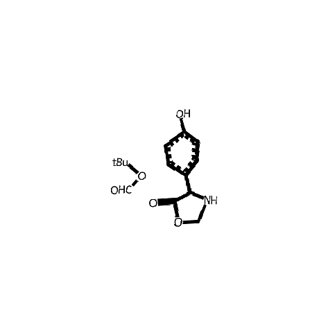 CC(C)(C)OC=O.O=C1OCNC1c1ccc(O)cc1